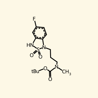 CN(CCCN1c2ccc(F)cc2NS1(=O)=O)C(=O)OC(C)(C)C